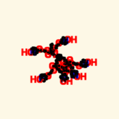 CCCCC(CCCc1ccc(CCCC(CCCC)(C(=O)OCCCOC2CC(C)(C)N(O)C(C)(C)C2)C(=O)OCCCOC2CC(C)(C)N(O)C(C)(C)C2)c(CCCC(CCCC)(C(=O)OCCCOC2CC(C)(C)N(O)C(C)(C)C2)C(=O)OCCCOC2CC(C)(C)N(O)C(C)(C)C2)c1)(C(=O)OCCCOC1CC(C)(C)N(O)C(C)(C)C1)C(=O)OCCCOC1CC(C)(C)N(O)C(C)(C)C1